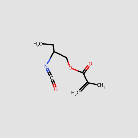 [CH2]CC(COC(=O)C(=C)C)N=C=O